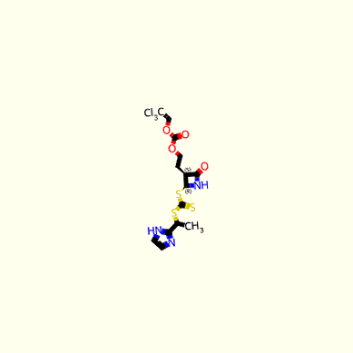 CC(SC(=S)S[C@H]1NC(=O)[C@@H]1CCOC(=O)OCC(Cl)(Cl)Cl)c1ncc[nH]1